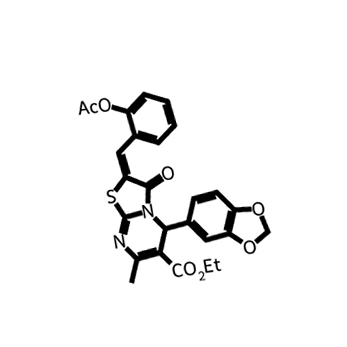 CCOC(=O)C1=C(C)N=c2sc(=Cc3ccccc3OC(C)=O)c(=O)n2C1c1ccc2c(c1)OCO2